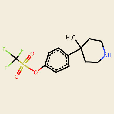 CC1(c2ccc(OS(=O)(=O)C(F)(F)F)cc2)CCNCC1